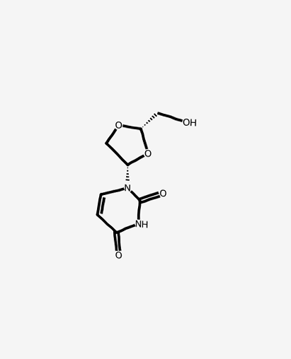 O=c1ccn([C@@H]2CO[C@H](CO)O2)c(=O)[nH]1